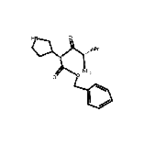 CCC[C@H](N)C(=O)N(C(=O)OCc1ccccc1)C1CCNC1